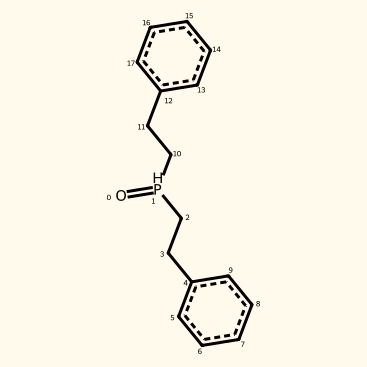 O=[PH](CCc1ccccc1)CCc1ccccc1